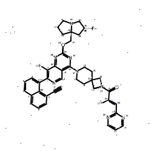 C#Cc1cccc2cccc(-c3ncc4c(N5CCC6(CC5)CN(C(=O)/C(F)=C/c5ncccn5)C6)nc(OC[C@@]56CCCN5C[C@H](F)C6)nc4c3F)c12